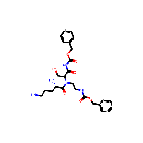 NCCC[C@H](N)C(=O)N(CCNC(=O)OCc1ccccc1)[C@@H](CO)C(=O)NC(=O)OCc1ccccc1